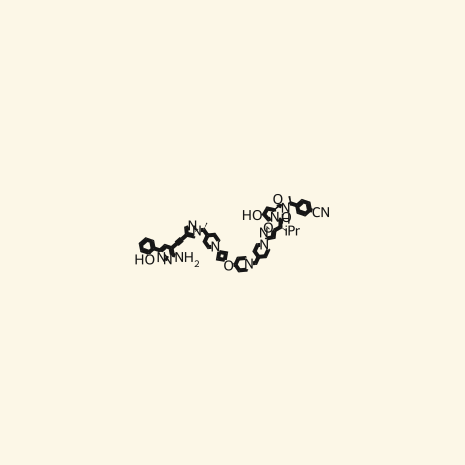 CC(C)[C@@H](C(=O)N1C[C@H](O)C[C@H]1C(=O)N[C@@H](C)c1ccc(C#N)cc1)c1cc(N2CCC(CN3CCC(OC4CC(N5CCC([C@@H](C)n6cc(C#Cc7cc(-c8ccccc8O)nnc7N)cn6)CC5)C4)CC3)CC2)no1